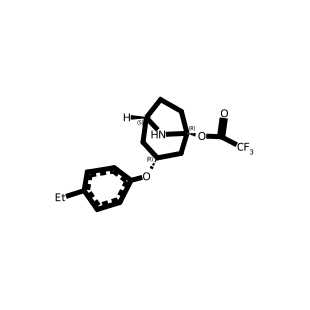 CCc1ccc(O[C@@H]2C[C@@H]3CC[C@@](OC(=O)C(F)(F)F)(C2)N3)cc1